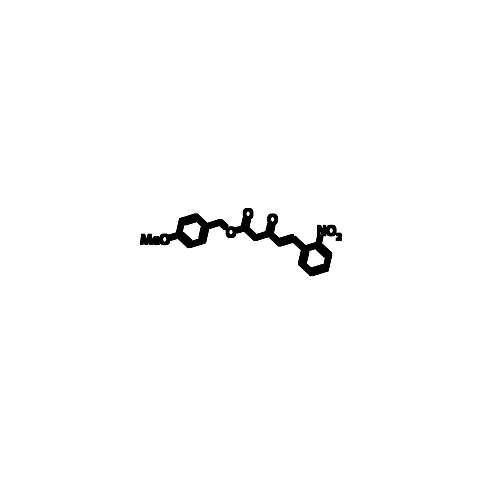 COc1ccc(COC(=O)CC(=O)C=Cc2ccccc2[N+](=O)[O-])cc1